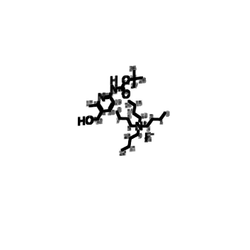 CCCC[N+](CCCC)(CCCC)CCCC.Cc1nc(NC(=O)OC(C)(C)C)ccc1CO.[F-]